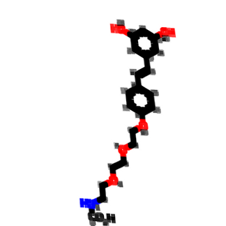 O=C(O)NCCOCCOCCOc1ccc(C=Cc2cc(O)cc(O)c2)cc1